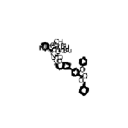 CC(C)(C)OC(=O)N(C[C@H]1CCc2cc(-c3ccc(C(=O)OCc4ccccc4)c(Oc4ccccc4)c3)ccc2O1)C[C@H](O[Si](C)(C)C(C)(C)C)c1cccnc1